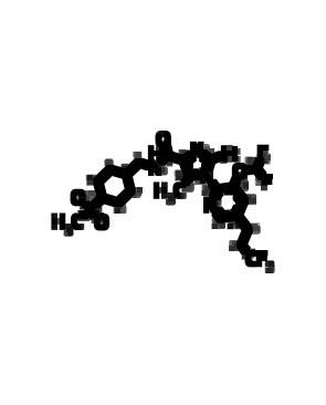 CCc1nc(C(=O)NCC2CCC(S(C)(=O)=O)CC2)c(C)n1-c1ncc(CCC(F)(F)F)cc1OC(F)F